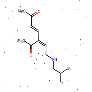 CCC(CC)CNCC=C(C=CC(=O)OC)C(=O)OC